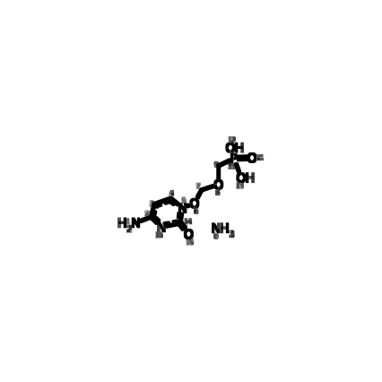 N.Nc1ccn(OCOCP(=O)(O)O)c(=O)n1